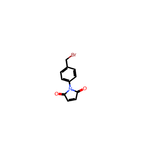 O=C1C=CC(=O)N1c1ccc(CBr)cc1